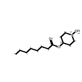 CCCCCCCC(=O)OC1CCN(O)CC1